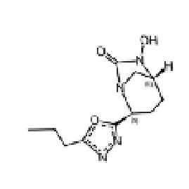 CCCc1nnc([C@@H]2CC[C@@H]3CN2C(=O)N3O)o1